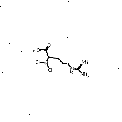 N=C(N)NCCCC(C(=O)O)N(Cl)Cl